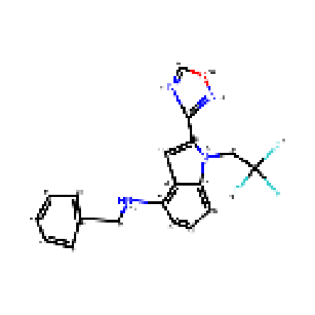 FC(F)(F)Cn1c(-c2ncon2)cc2c(NCc3ccccc3)cccc21